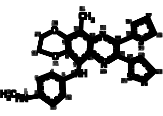 CNc1ccc(Nc2c3c(c(C)c4nc(-c5cccs5)c(-c5cccs5)nc24)OCCO3)cc1